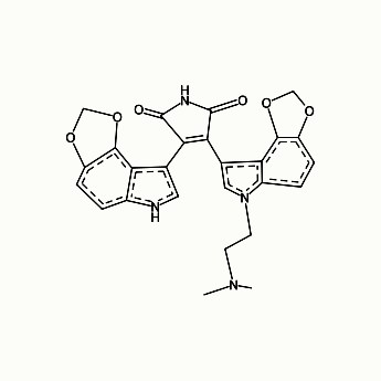 CN(C)CCn1cc(C2=C(c3c[nH]c4ccc5c(c34)OCO5)C(=O)NC2=O)c2c3c(ccc21)OCO3